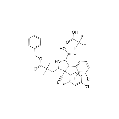 CC(C)(CC1NC(C(=O)O)C(c2cccc(Cl)c2F)C1(C#N)c1ccc(Cl)cc1F)C(=O)OCc1ccccc1.O=C(O)C(F)(F)F